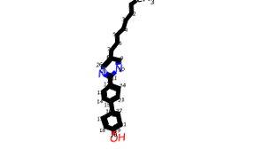 CCCCCCCCc1cnc(-c2ccc(-c3ccc(O)cc3)cc2)nc1